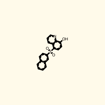 O=S(=O)(c1ccc2ccccc2c1)c1ccc(O)c2ncccc12